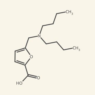 CCCCN(CCCC)Cc1ccc(C(=O)O)o1